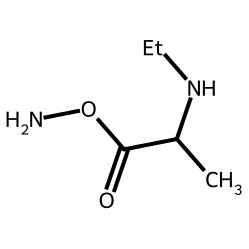 CCNC(C)C(=O)ON